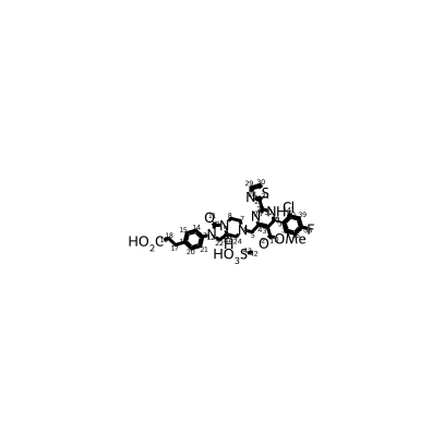 COC(=O)C1=C(CN2CCN3C(=O)N(c4ccc(CCC(=O)O)cc4)C[C@@H]3C2)N=C(c2nccs2)N[C@H]1c1ccc(F)cc1Cl.CS(=O)(=O)O